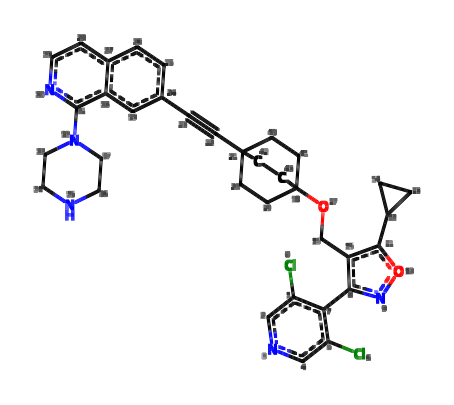 Clc1cncc(Cl)c1-c1noc(C2CC2)c1COC12CCC(C#Cc3ccc4ccnc(N5CCNCC5)c4c3)(CC1)CC2